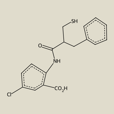 O=C(O)c1cc(Cl)ccc1NC(=O)C(CS)Cc1ccccc1